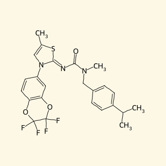 Cc1cn(-c2ccc3c(c2)OC(F)(F)C(F)(F)O3)c(=NC(=O)N(C)Cc2ccc(C(C)C)cc2)s1